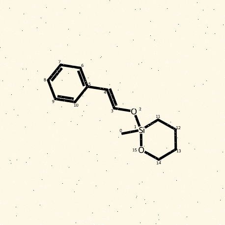 C[Si]1(OC=Cc2ccccc2)CCCCO1